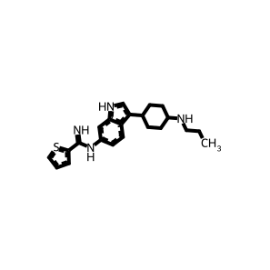 CCCNC1CCC(c2c[nH]c3cc(NC(=N)c4cccs4)ccc23)CC1